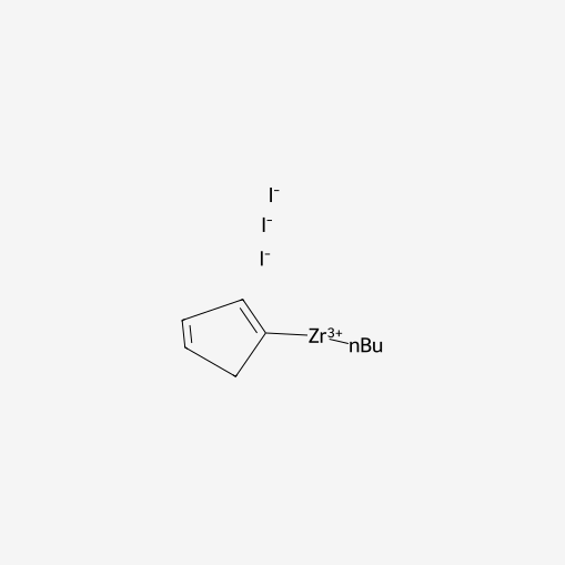 CCC[CH2][Zr+3][C]1=CC=CC1.[I-].[I-].[I-]